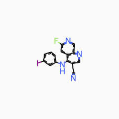 N#Cc1cnc2cnc(F)cc2c1Nc1cccc(I)c1